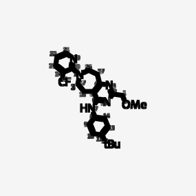 COCc1nc2c(c(Nc3ccc(C(C)(C)C)cc3)n1)CCN(c1ncccc1C(F)(F)F)CC2